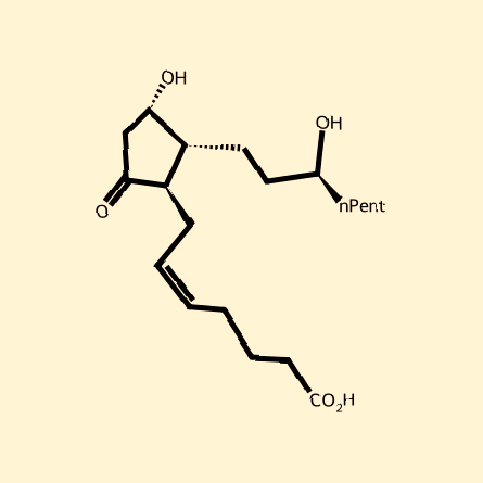 CCCCC[C@H](O)CC[C@H]1[C@@H](O)CC(=O)[C@@H]1C/C=C\CCCC(=O)O